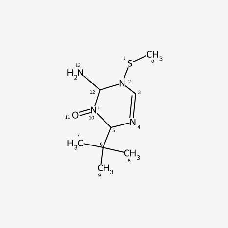 CSN1C=NC(C(C)(C)C)[N+](=O)C1N